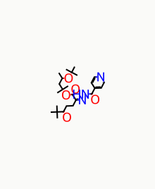 CC(CC(C)(C)OC(=O)/C(CCC(=O)C(C)(C)C)=N\NC(=O)c1ccncc1)OC(C)(C)C